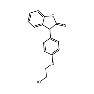 O=C1Oc2ccccc2C1c1ccc(OCCO)cc1